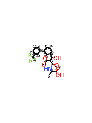 CC(NC(=O)c1c(O)c2cccc(-c3cccc(C(F)(F)F)c3)c2oc1=O)C(=O)O